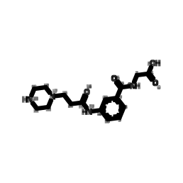 O=C(O)CNC(=O)c1cccc(NC(=O)CCN2CCNCC2)c1